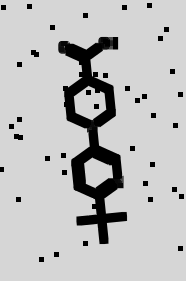 CC(C)(C)c1ccc(N2CCC(C(=O)O)CC2)cn1